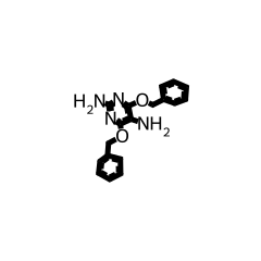 Nc1nc(OCc2ccccc2)c(N)c(OCc2ccccc2)n1